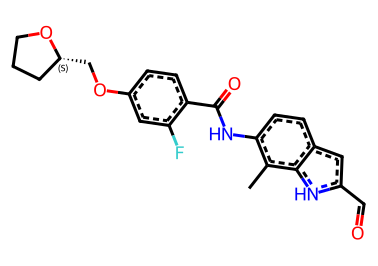 Cc1c(NC(=O)c2ccc(OC[C@@H]3CCCO3)cc2F)ccc2cc(C=O)[nH]c12